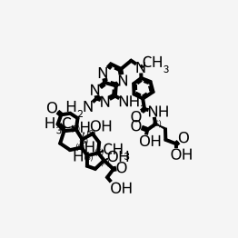 CN(Cc1cnc2nc(N)nc(N)c2n1)c1ccc(C(=O)N[C@@H](CCC(=O)O)C(=O)O)cc1.C[C@]12CCC(=O)C=C1CC[C@@H]1[C@@H]2[C@@H](O)C[C@@]2(C)[C@H]1CC[C@]2(O)C(=O)CO